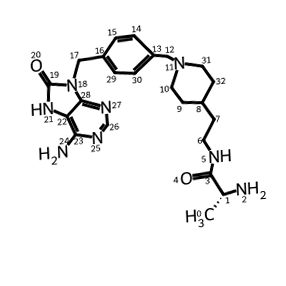 C[C@@H](N)C(=O)NCCC1CCN(Cc2ccc(Cn3c(=O)[nH]c4c(N)ncnc43)cc2)CC1